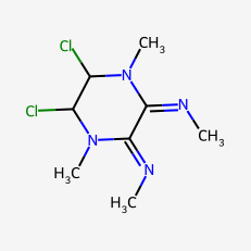 CN=C1C(=NC)N(C)C(Cl)C(Cl)N1C